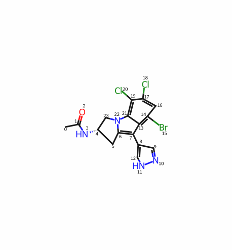 CC(=O)N[C@H]1Cc2c(-c3cn[nH]c3)c3c(Br)cc(Cl)c(Cl)c3n2C1